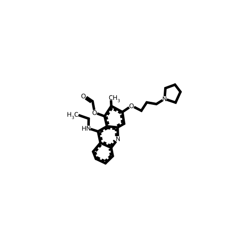 CCNc1c2ccccc2nc2cc(OCCCN3CCCC3)c(C)c(OC=O)c12